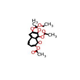 CCOC1(C)Oc2cc3cccc(OC(C)=O)c(=O)c3c(OC(C)=O)c2O1